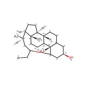 CC(C)CC1C[C@@H](C)[C@H]2CC[C@H]3[C@@H]4CCC5C[C@@H](O)CC(O1)[C@]5(C)C4CC[C@]23C